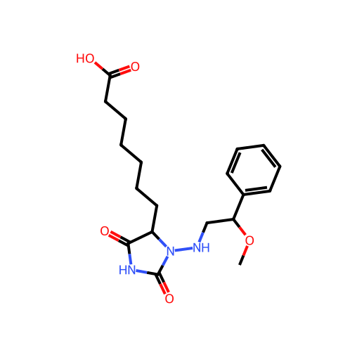 COC(CNN1C(=O)NC(=O)C1CCCCCCC(=O)O)c1ccccc1